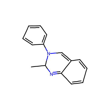 CC1N=c2ccccc2=CN1c1ccccc1